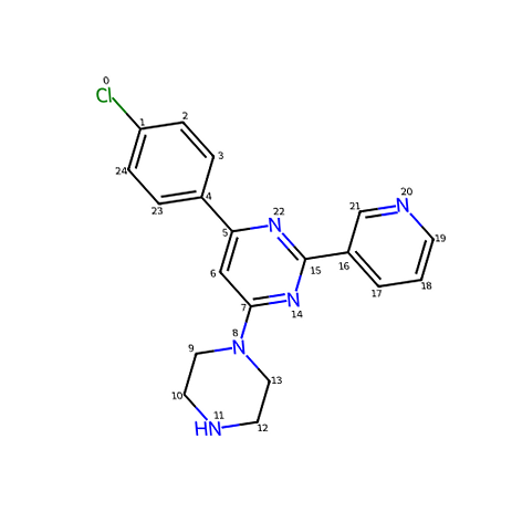 Clc1ccc(-c2cc(N3CCNCC3)nc(-c3cccnc3)n2)cc1